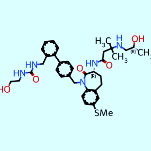 CSc1ccc2c(c1)CC[C@@H](NC(=O)CC(C)(C)NC[C@@H](C)O)C(=O)N2Cc1ccc(-c2ccccc2CNC(=O)NCCO)cc1